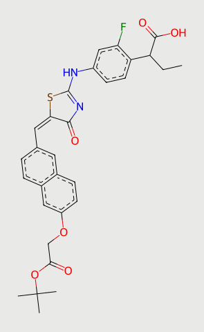 CCC(C(=O)O)c1ccc(NC2=NC(=O)C(=Cc3ccc4cc(OCC(=O)OC(C)(C)C)ccc4c3)S2)cc1F